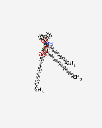 CCCCCCCCCCCCCCCCCCCCCC(=O)OC[C@H](CSC[C@H](NC(=O)CCCCCCCCCCCCCCC)C(=O)OC(c1ccccc1)c1ccccc1)OC(=O)CCCCCCCCCCCCCCCCCCCCC